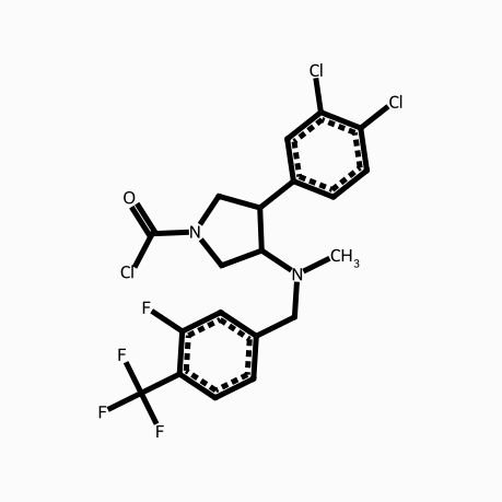 CN(Cc1ccc(C(F)(F)F)c(F)c1)C1CN(C(=O)Cl)CC1c1ccc(Cl)c(Cl)c1